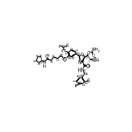 CC(C)(C)C[C@H](OC(N)=O)c1oc(-c2ccc(OC(F)F)c(OCCCCC(=O)NC3CCCC3)c2)nc1C(=O)NCc1ccc(F)cc1F